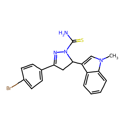 Cn1cc(C2CC(c3ccc(Br)cc3)=NN2C(N)=S)c2ccccc21